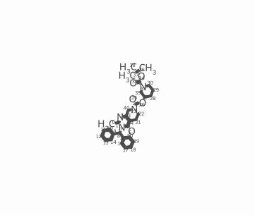 Cc1nc2c(c(=O)n1C(c1ccccc1)c1ccccc1)CCN(C(=O)OC1CCCN(C(=O)OC(C)(C)C)C1)C2